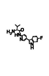 CC(C)C(N)C(=O)Nc1ccc(-c2c[nH]c3cc(F)ccc23)cn1